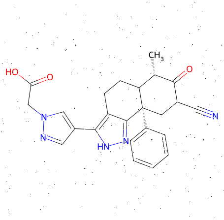 C[C@@H]1C(=O)C(C#N)C[C@@]2(c3ccccc3)c3n[nH]c(-c4cnn(CC(=O)O)c4)c3CCC12